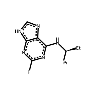 CC[C@H](Nc1nc(F)nc2[nH]cnc12)C(C)C